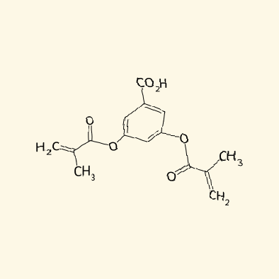 C=C(C)C(=O)Oc1cc(OC(=O)C(=C)C)cc(C(=O)O)c1